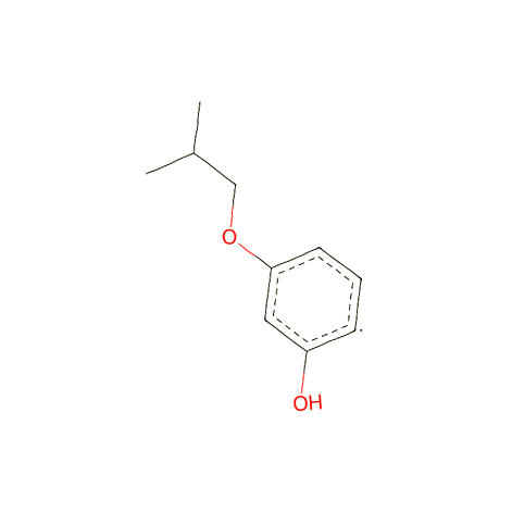 CC(C)COc1cc[c]c(O)c1